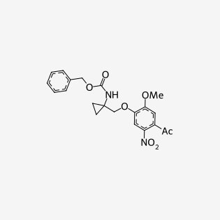 COc1cc(C(C)=O)c([N+](=O)[O-])cc1OCC1(NC(=O)OCc2ccccc2)CC1